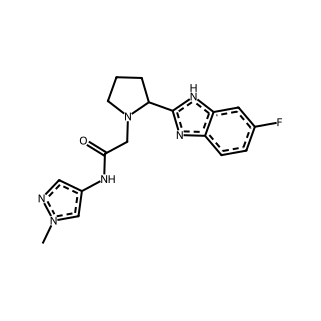 Cn1cc(NC(=O)CN2CCCC2c2nc3ccc(F)cc3[nH]2)cn1